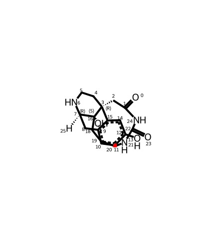 O=C1C[C@]23CCN[C@H](Cc4ccc(O)cc42)[C@]3(O)CCCNC(=O)N1